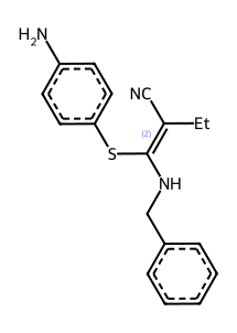 CC/C(C#N)=C(\NCc1ccccc1)Sc1ccc(N)cc1